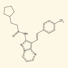 O=C(CCC1CCCC1)Nc1nn2cccnc2c1/C=C/c1ccc(C(F)(F)F)cc1